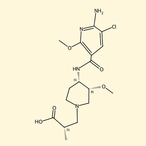 COc1nc(N)c(Cl)cc1C(=O)N[C@H]1CCN(C[C@H](C)C(=O)O)C[C@H]1OC